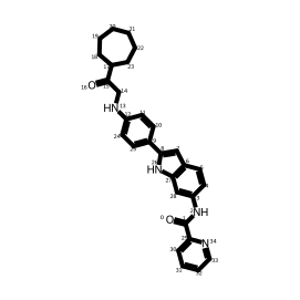 O=C(Nc1ccc2cc(-c3ccc(NCC(=O)C4CCCCCC4)cc3)[nH]c2c1)c1ccccn1